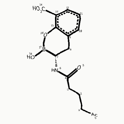 CC(=O)CCCC(=O)N[C@H]1Cc2cccc(C(=O)O)c2OB1O